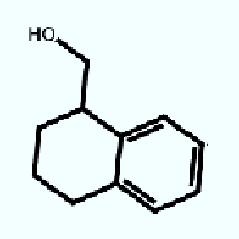 OCC1CCCc2cc[c]cc21